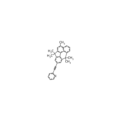 Cc1cc2c3c4c(cccc14)C(C)(C)c1cc(C#Cc4ccccn4)cc(c1-3)C2(C)C